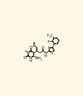 C=N/C=C(/CC(=O)Nc1nc(-c2cccc(C(F)(F)F)c2F)cs1)c1c(N)[nH]c(=O)n(C)c1=O